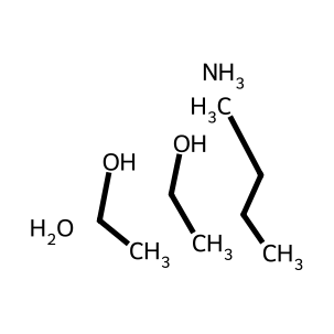 CCCC.CCO.CCO.N.O